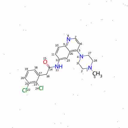 CN1CCN(c2ccnc3ccc(NC(=O)Cc4cccc(Cl)c4Cl)cc23)CC1